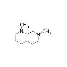 CN1CCC2CCCN(C)C2C1